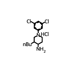 CCCCC1CN(c2cc(Cl)cc(Cl)c2)CCC1N.Cl